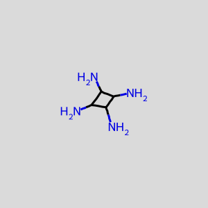 NC1C(N)C(N)C1N